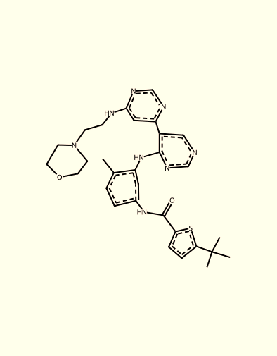 Cc1ccc(NC(=O)c2ccc(C(C)(C)C)s2)cc1Nc1ncncc1-c1cc(NCCN2CCOCC2)ncn1